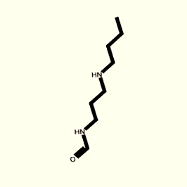 CCCCNCCCNC=O